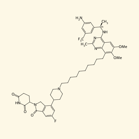 COc1cc2c(N[C@H](C)c3cc(N)cc(C(F)(F)F)c3)nc(C)nc2c(CCCCCCCCCCN2CCC(c3cc(F)cc4c3CN(C3CCC(=O)NC3=O)C4=O)CC2)c1OC